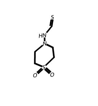 O=S1(=O)CCN(NC=S)CC1